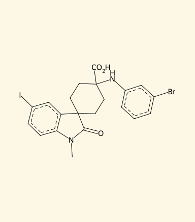 CN1C(=O)C2(CCC(Nc3cccc(Br)c3)(C(=O)O)CC2)c2cc(I)ccc21